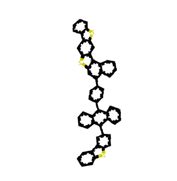 c1ccc2c(c1)sc1ccc(-c3c4ccccc4c(-c4ccc(-c5cc6sc7cc8c(cc7c6c6ccccc56)sc5ccccc58)cc4)c4ccccc34)cc12